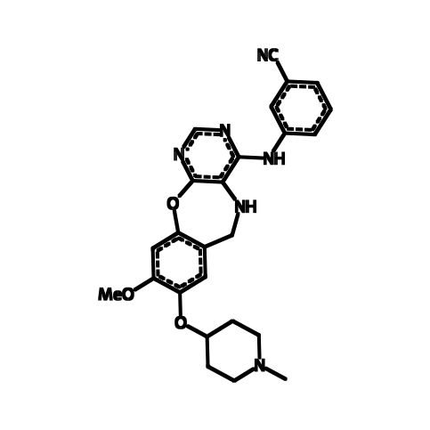 COc1cc2c(cc1OC1CCN(C)CC1)CNc1c(Nc3cccc(C#N)c3)ncnc1O2